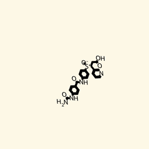 NC(=O)Nc1ccc(C(=O)Nc2ccc([S+]([O-])C(CC(=O)O)c3cccnc3)cc2)cc1